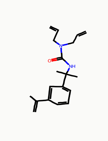 C=CCN(CC=C)C(=O)NC(C)(C)c1cccc(C(=C)C)c1